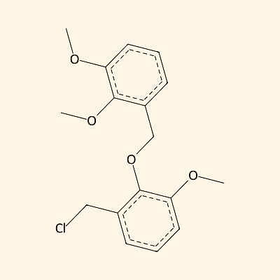 COc1cccc(COc2c(CCl)cccc2OC)c1OC